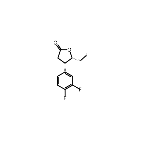 O=C1C[C@@H](c2ccc(F)c(F)c2)[C@@H](CI)O1